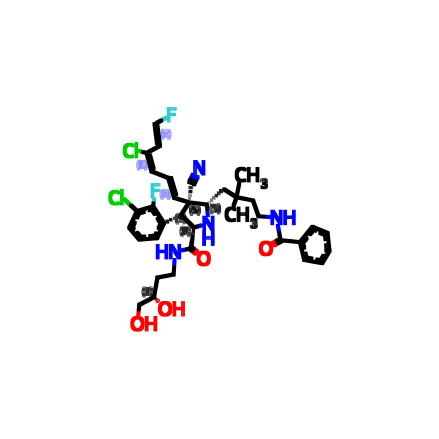 CC(C)(CCNC(=O)c1ccccc1)C[C@@H]1N[C@@H](C(=O)NCC[C@H](O)CO)[C@H](c2cccc(Cl)c2F)[C@@]1(C#N)/C=C/C=C(Cl)\C=C\F